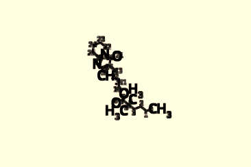 CCCCC(C)(C)C(=O)OCCCCc1c(C)nc2n(c1=O)CCCC2